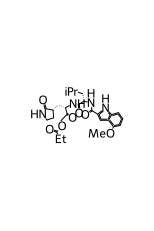 CCC(=O)OCC(=O)[C@H](C[C@@H]1CCNC1=O)NC(=O)[C@H](CC(C)C)NC(=O)c1cc2c(OC)cccc2[nH]1